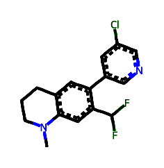 CN1CCCc2cc(-c3cncc(Cl)c3)c(C(F)F)cc21